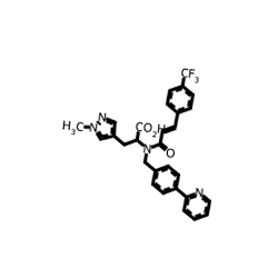 Cn1cc(CC(C(=O)O)N(Cc2ccc(-c3ccccn3)cc2)C(=O)C=Cc2ccc(C(F)(F)F)cc2)cn1